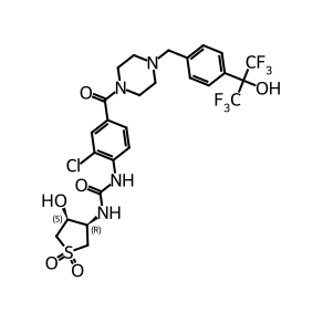 O=C(Nc1ccc(C(=O)N2CCN(Cc3ccc(C(O)(C(F)(F)F)C(F)(F)F)cc3)CC2)cc1Cl)N[C@H]1CS(=O)(=O)C[C@H]1O